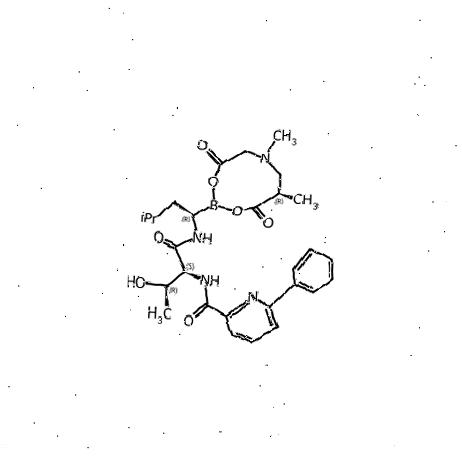 CC(C)C[C@H](NC(=O)[C@@H](NC(=O)c1cccc(-c2ccccc2)n1)[C@@H](C)O)B1OC(=O)CN(C)C[C@@H](C)C(=O)O1